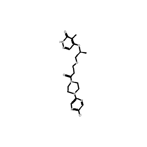 Cc1c(O[C@@H](C)COCCC(=O)N2CCN(c3cnc(Cl)cn3)CC2)cn[nH]c1=O